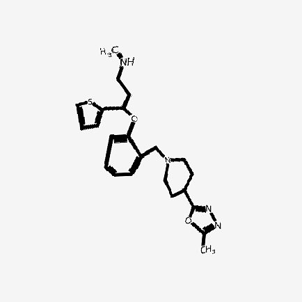 CNCCC(Oc1ccccc1CN1CCC(c2nnc(C)o2)CC1)c1cccs1